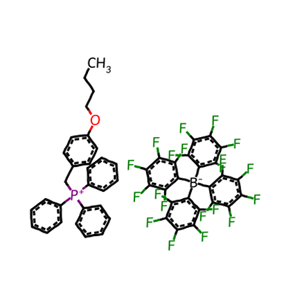 CCCCOc1ccc(C[P+](c2ccccc2)(c2ccccc2)c2ccccc2)cc1.Fc1c(F)c(F)c([B-](c2c(F)c(F)c(F)c(F)c2F)(c2c(F)c(F)c(F)c(F)c2F)c2c(F)c(F)c(F)c(F)c2F)c(F)c1F